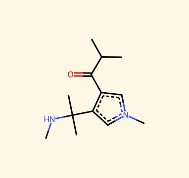 CNC(C)(C)c1cn(C)cc1C(=O)C(C)C